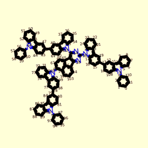 c1ccc(-n2c3ccccc3c3cc(-c4ccc5c(c4)c4ccccc4n5-c4nc5c(c(-n6c7ccccc7c7cc(-c8ccc9c(c8)c8ccccc8n9-c8ccccc8)ccc76)n4)-c4ccc(-n6c7ccccc7c7cc(-c8ccc9c(c8)c8ccccc8n9-c8ccccc8)ccc76)c6cccc-5c46)ccc32)cc1